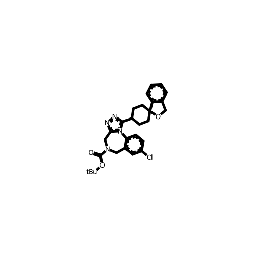 CC(C)(C)OC(=O)N1Cc2cc(Cl)ccc2-n2c(nnc2C2CCC3(CC2)OCc2ccccc23)C1